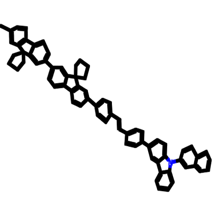 Cc1ccc2c(c1)C1(CCCC1)c1cc(-c3ccc4c(c3)C3(CCCC3)c3cc(-c5ccc(/C=C/c6ccc(-c7ccc8c(c7)c7ccccc7n8-c7ccc8ccccc8c7)cc6)cc5)ccc3-4)ccc1-2